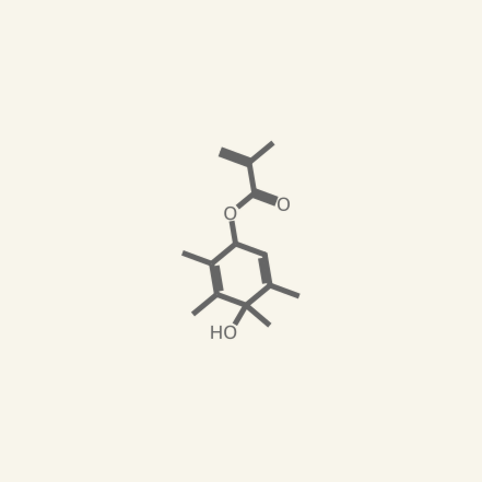 C=C(C)C(=O)OC1C=C(C)C(C)(O)C(C)=C1C